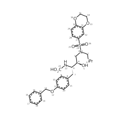 CC(C)CN(C[C@@H](O)[C@H](Cc1ccc(OCc2ccccc2)cc1)NC(=O)O)S(=O)(=O)c1ccc2c(c1)OCCO2